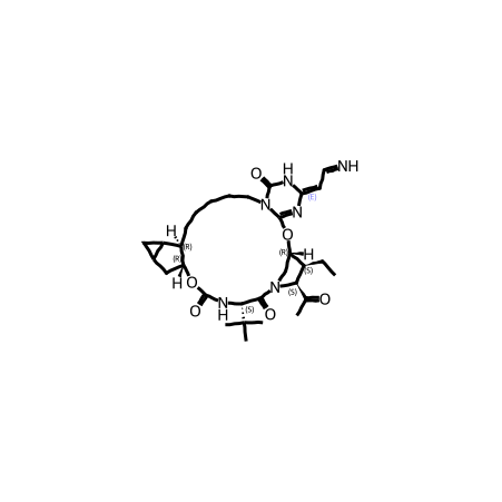 CC[C@@H]1[C@@H]2CN(C(=O)[C@H](C(C)(C)C)NC(=O)O[C@@H]3CC4CC4[C@H]3CCCCCN3C(=O)N/C(=C\C=N)N=C3O2)[C@@H]1C(C)=O